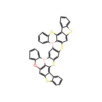 c1ccc2c(c1)Oc1cc3sc4ccccc4c3c3c1B2c1cc2c(cc1S3)Sc1cc3sc4ccccc4c3c3c1B2c1ccccc1S3